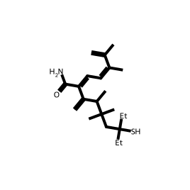 C=C(C)/C(C)=C\C=C(/C(=C)C(C)C(C)(C)CC(S)(CC)CC)C(N)=O